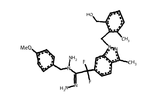 COc1ccc(CN(N)/C(=N\N)C(F)(F)c2ccc3c(C)nn(Cc4c(C)cccc4CO)c3c2)cc1